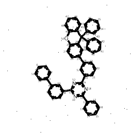 c1ccc(-c2cccc(-c3nc(-c4ccccc4)nc(-c4cccc(-c5ccc6c(c5)C(c5ccccc5)(c5ccccc5)c5ccccc5O6)c4)n3)c2)cc1